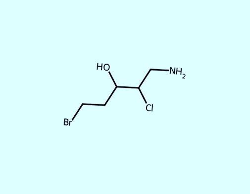 NCC(Cl)C(O)CCBr